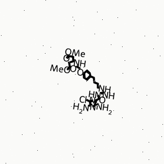 COC(=O)CC(CC(=O)OC)NCCOc1ccc(CCCCNC(=N)NC(=O)c2nc(Cl)c(N)nc2N)cc1